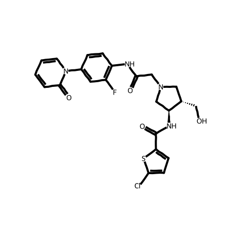 O=C(CN1C[C@H](CO)[C@@H](NC(=O)c2ccc(Cl)s2)C1)Nc1ccc(-n2ccccc2=O)cc1F